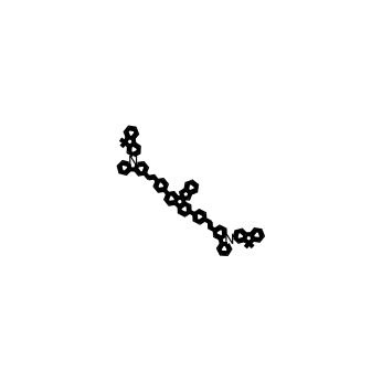 CC1(C)c2ccccc2-c2ccc(-n3c4ccccc4c4cc(/C=C/c5ccc(-c6ccc7c(c6)C6(Cc8ccccc8C6)c6cc(-c8ccc(/C=C/c9ccc%10c(c9)c9ccccc9n%10-c9ccc%10c(c9)C(C)(C)c9ccccc9-%10)cc8)ccc6-7)cc5)ccc43)cc21